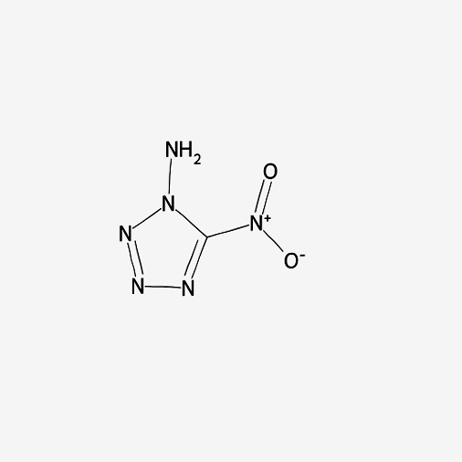 Nn1nnnc1[N+](=O)[O-]